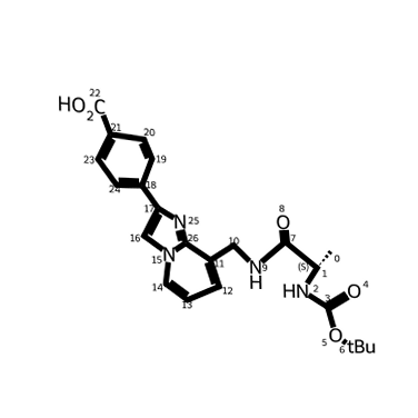 C[C@H](NC(=O)OC(C)(C)C)C(=O)NCc1cccn2cc(-c3ccc(C(=O)O)cc3)nc12